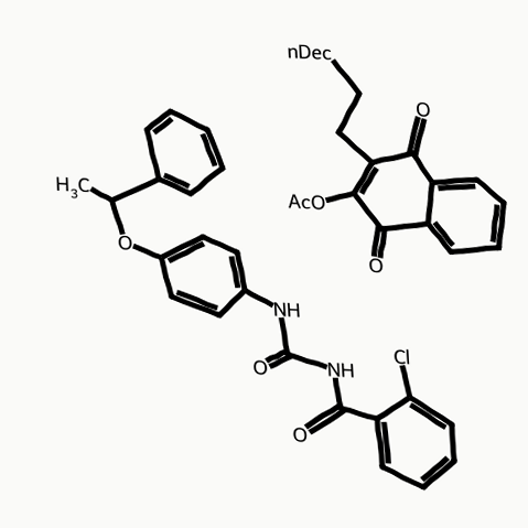 CC(Oc1ccc(NC(=O)NC(=O)c2ccccc2Cl)cc1)c1ccccc1.CCCCCCCCCCCCC1=C(OC(C)=O)C(=O)c2ccccc2C1=O